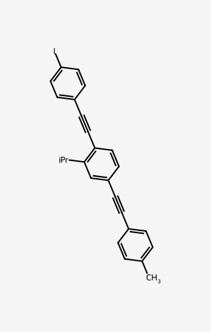 Cc1ccc(C#Cc2ccc(C#Cc3ccc(I)cc3)c(C(C)C)c2)cc1